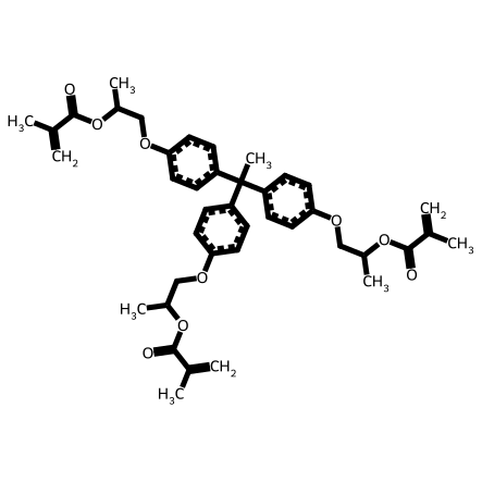 C=C(C)C(=O)OC(C)COc1ccc(C(C)(c2ccc(OCC(C)OC(=O)C(=C)C)cc2)c2ccc(OCC(C)OC(=O)C(=C)C)cc2)cc1